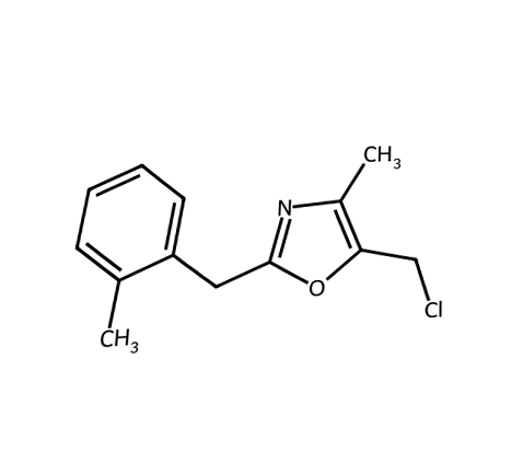 Cc1ccccc1Cc1nc(C)c(CCl)o1